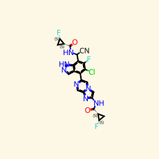 N#CC(NC(=O)[C@@H]1C[C@@H]1F)c1c(F)c(Cl)c(-c2cn3cc(NC(=O)[C@@H]4C[C@@H]4F)nc3cn2)c2cn[nH]c12